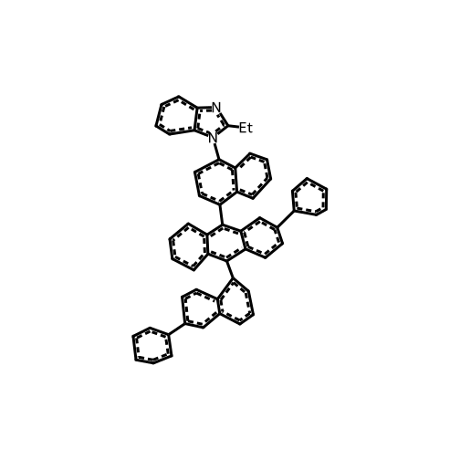 CCc1nc2ccccc2n1-c1ccc(-c2c3ccccc3c(-c3cccc4cc(-c5ccccc5)ccc34)c3ccc(-c4ccccc4)cc23)c2ccccc12